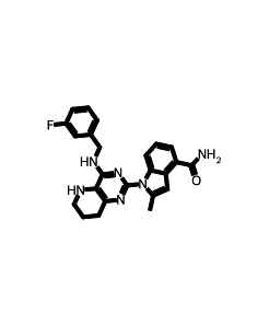 Cc1cc2c(C(N)=O)cccc2n1-c1nc2c(c(NCc3cccc(F)c3)n1)NCCC2